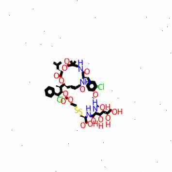 CN[C@H](C(=O)N[C@H](CSSCCOC(=O)O[C@H]([C@@H](C)[C@@H]1C/C=C/C(=O)N[C@H](Cc2ccc(OC)c(Cl)c2)C(=O)NCC(C)(C)C(=O)O[C@@H](CC(C)C)C(=O)O1)[C@@H](Cl)c1ccccc1)C(=O)O)[C@@H](O)[C@H](O)[C@H](O)CO